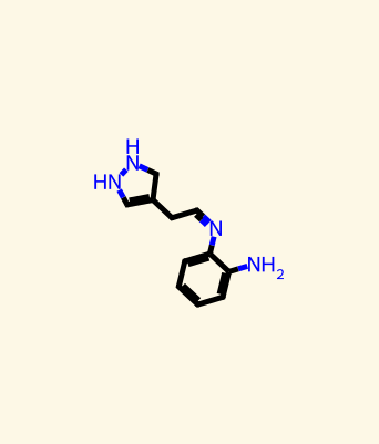 Nc1ccccc1/N=C\CC1=CNNC1